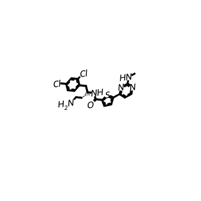 CNc1nccc(-c2ccc(C(=O)N[C@H](CCN)Cc3ccc(Cl)cc3Cl)s2)n1